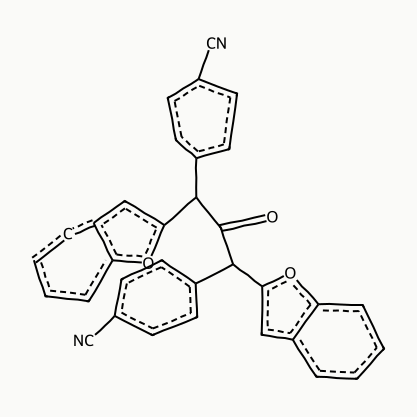 N#Cc1ccc(C(C(=O)C(c2ccc(C#N)cc2)c2cc3ccccc3o2)c2cc3ccccc3o2)cc1